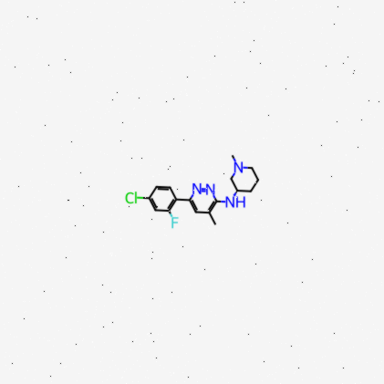 Cc1cc(-c2ccc(Cl)cc2F)nnc1N[C@@H]1CCCN(C)C1